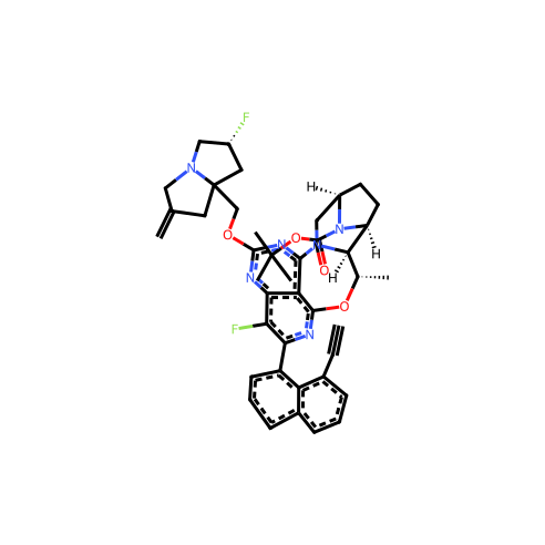 C#Cc1cccc2cccc(-c3nc4c5c(nc(OCC67CC(=C)CN6C[C@H](F)C7)nc5c3F)N3C[C@H]5CC[C@@H]([C@H]3[C@H](C)O4)N5C(=O)OC(C)(C)C)c12